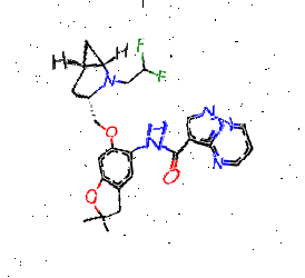 CC1(C)Cc2cc(NC(=O)c3cnn4cccnc34)c(OC[C@@H]3C[C@@H]4C[C@@H]4N3CC(F)F)cc2O1